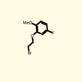 COc1ccc(F)cc1OCCBr